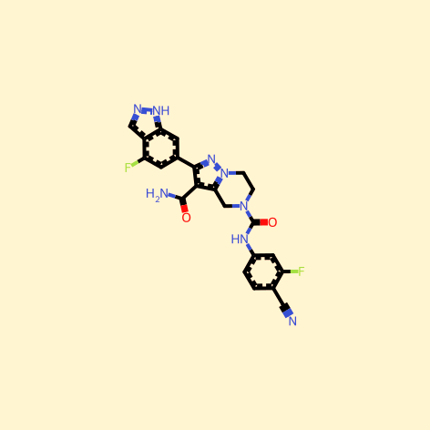 N#Cc1ccc(NC(=O)N2CCn3nc(-c4cc(F)c5cn[nH]c5c4)c(C(N)=O)c3C2)cc1F